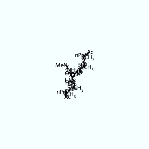 CCCC(C)(CCC(C)=O)OCCOC(C)(CC)CCn1cc(-c2cc(C(=O)NCCNC)cc(C3=CN(CC(C)(CC)OCCOC(C)(CCC)CC(C)=O)NN3)c2)nn1